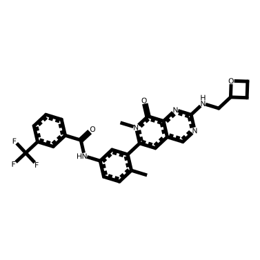 Cc1ccc(NC(=O)c2cccc(C(F)(F)F)c2)cc1-c1cc2cnc(NCC3CCO3)nc2c(=O)n1C